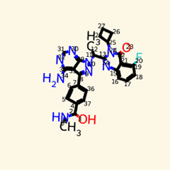 CNC(O)c1ccc(-c2nn(C(C)c3nc4cccc(F)c4c(=O)n3C3CCC3)c3ncnc(N)c23)cc1